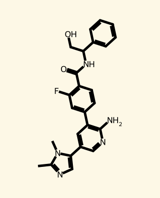 Cc1ncc(-c2cnc(N)c(-c3ccc(C(=O)NC(CO)c4ccccc4)c(F)c3)c2)n1C